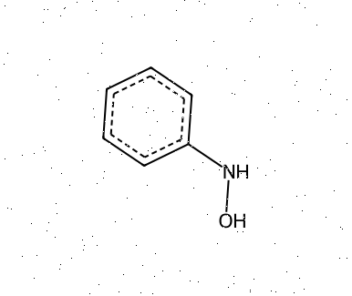 ONc1ccccc1